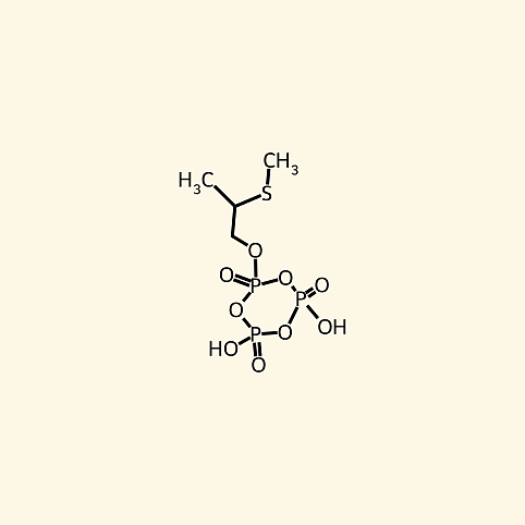 CSC(C)COP1(=O)OP(=O)(O)OP(=O)(O)O1